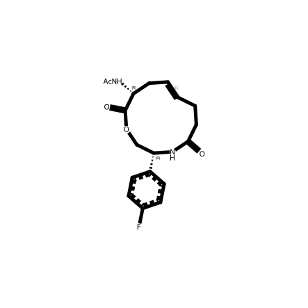 CC(=O)N[C@@H]1C/C=C/CCC(=O)N[C@H](c2ccc(F)cc2)COC1=O